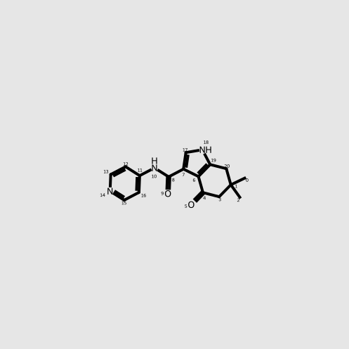 CC1(C)CC(=O)c2c(C(=O)Nc3ccncc3)c[nH]c2C1